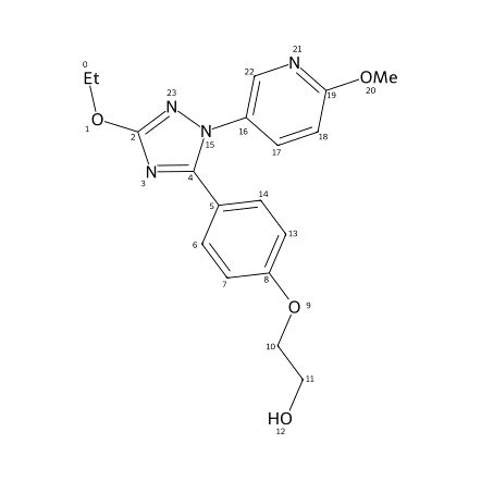 CCOc1nc(-c2ccc(OCCO)cc2)n(-c2ccc(OC)nc2)n1